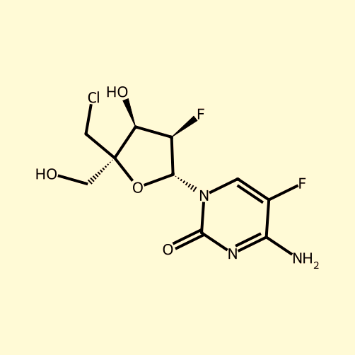 Nc1nc(=O)n([C@@H]2O[C@@](CO)(CCl)[C@@H](O)[C@H]2F)cc1F